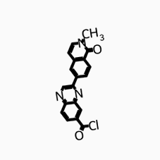 Cn1ccc2cc(-c3cnc4ccc(C(=O)Cl)cc4n3)ccc2c1=O